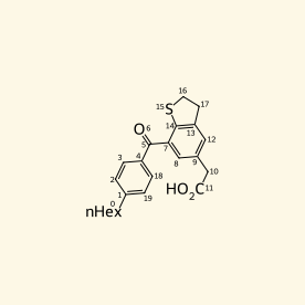 CCCCCCc1ccc(C(=O)c2cc(CC(=O)O)cc3c2SCC3)cc1